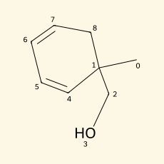 CC1(CO)C=CC=CC1